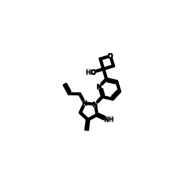 C=CCN1CC(=C)C(=N)N1c1cccc(C2(O)COC2)n1